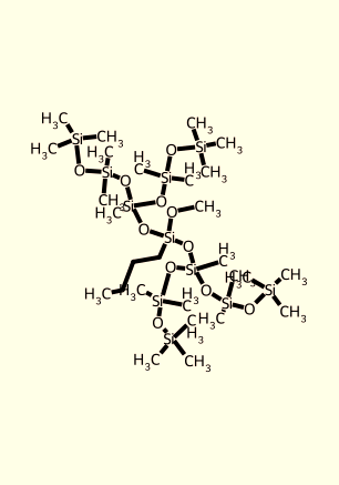 CCCC[Si](OC)(O[Si](C)(O[Si](C)(C)O[Si](C)(C)C)O[Si](C)(C)O[Si](C)(C)C)O[Si](C)(O[Si](C)(C)O[Si](C)(C)C)O[Si](C)(C)O[Si](C)(C)C